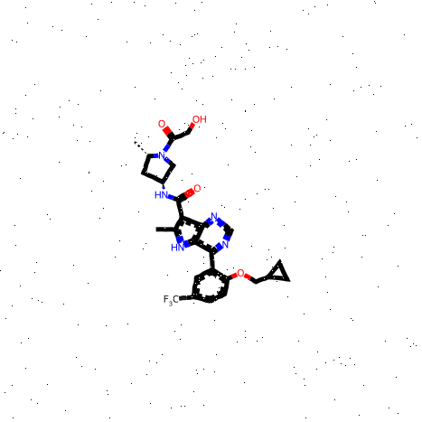 Cc1[nH]c2c(-c3cc(C(F)(F)F)ccc3OCC3CC3)ncnc2c1C(=O)N[C@@H]1C[C@H](C)N(C(=O)CO)C1